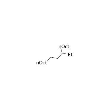 [CH2]CC(CCCCCCCC)CCCCCCCCCC